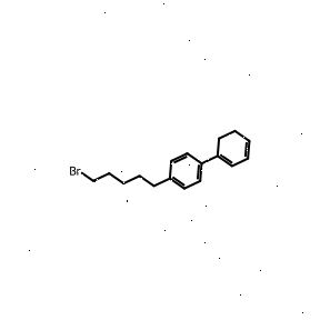 BrCCCCCc1ccc(C2=CC=CCC2)cc1